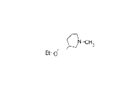 CCOCCC1CCCN(C)C1